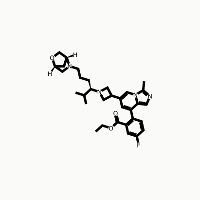 CCOC(=O)c1cc(F)ccc1-c1cc(C2CN([C@H](CCCN3C[C@H]4C[C@@H]3CO4)C(C)C)C2)cn2c(C)ncc12